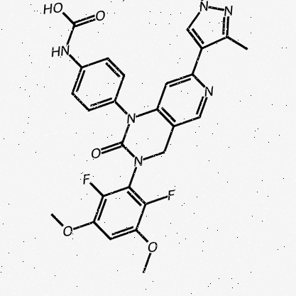 COc1cc(OC)c(F)c(N2Cc3cnc(-c4cn(C)nc4C)cc3N(c3ccc(NC(=O)O)cc3)C2=O)c1F